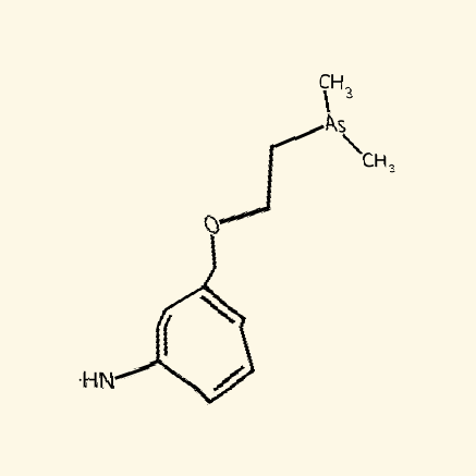 C[As](C)CCOc1cccc([NH])c1